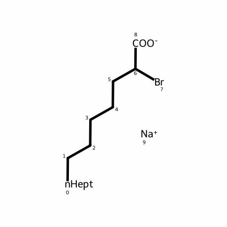 CCCCCCCCCCCCC(Br)C(=O)[O-].[Na+]